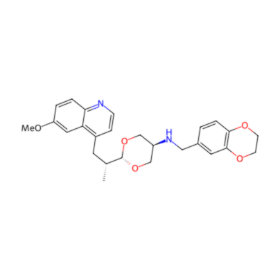 COc1ccc2nccc(C[C@@H](C)[C@H]3OC[C@H](NCc4ccc5c(c4)OCCO5)CO3)c2c1